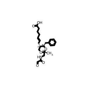 C[C@@]1(CNC(=O)C=O)OC[C@H](CC=CCCCC(=O)O)[C@@H](Cc2ccccc2)O1